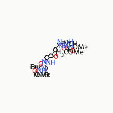 CC[C@H](C)[C@H](NC(=O)OC)C(=O)N1C[C@@H](COC)C[C@H]1c1nc2ccc3cc4c(cc3c2[nH]1)OCc1cc(-c2cnc([C@@H]3CC[C@H](C)N3C(=O)[C@@H](NC(=O)OC)[C@@H](C)OC)[nH]2)ccc1-4